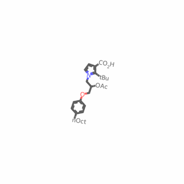 CCCCCCCCc1ccc(OCC(Cn2ccc(C(=O)O)c2C(C)(C)C)OC(C)=O)cc1